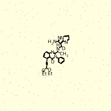 CCOC(C#Cc1cccc2nc([C@H](C)NC(=O)c3c(N)nn4cccnc34)n(-c3ccccc3)c(=O)c12)OCC